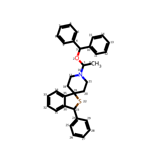 CC(OC(c1ccccc1)c1ccccc1)N1CCC2(CC1)SC(c1ccccc1)c1ccccc12